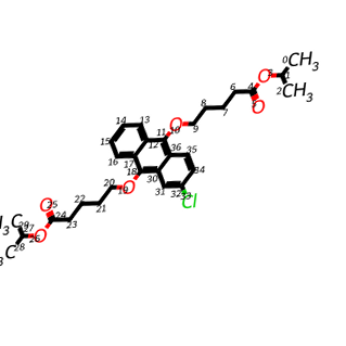 CC(C)OC(=O)CCCCOc1c2ccccc2c(OCCCCC(=O)OC(C)C)c2cc(Cl)ccc12